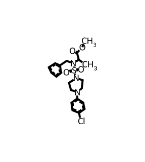 COC(=O)C(C)N(Cc1ccccc1)S(=O)(=O)N1CCN(c2ccc(Cl)cc2)CC1